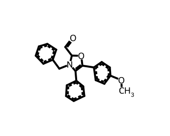 COc1ccc(C2=C(c3ccccc3)N(Cc3ccccc3)C(C=O)O2)cc1